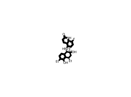 CCc1ccc2c(c1O)[C@H](CC)C[C@@](O)(C(F)(F)F)[C@@H]2Nc1ccc(F)c2[nH]c(=O)ccc12